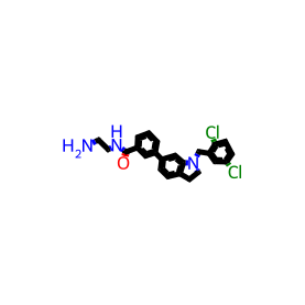 NCCNC(=O)c1cccc(-c2ccc3c(c2)N(Cc2cc(Cl)ccc2Cl)CC3)c1